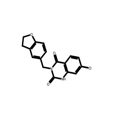 O=c1[nH]c2cc(Cl)ccc2c(=O)n1Cc1ccc2c(c1)CCO2